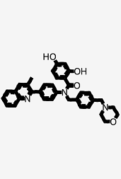 Cc1cc2ccccc2nc1-c1ccc(N(Cc2ccc(CN3CCOCC3)cc2)C(=O)c2ccc(O)cc2O)cc1